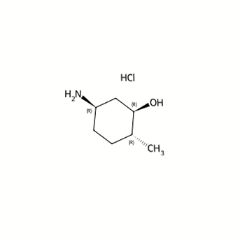 C[C@@H]1CC[C@@H](N)C[C@H]1O.Cl